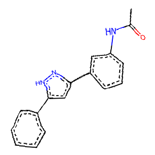 CC(=O)Nc1cccc(-c2cc(-c3ccccc3)[nH]n2)c1